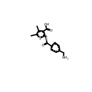 Cc1sc(NC(=O)c2ccc(CN)cc2)c(C(=O)O)c1C